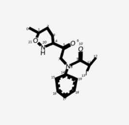 CC1CCC(C(=O)CN(C(=O)C(C)I)c2ccccc2)NO1